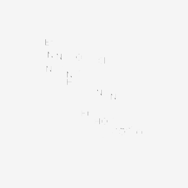 CCc1c(C(O)(c2ccccc2C)c2ccccc2C(=O)OCc2ccccc2)nc2cc(Cl)c(C(=O)Nc3ncn(CC)n3)cn12